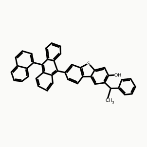 CC(c1ccccc1)c1cc2c(cc1O)sc1cc(-c3c4ccccc4c(-c4cccc5ccccc45)c4ccccc34)ccc12